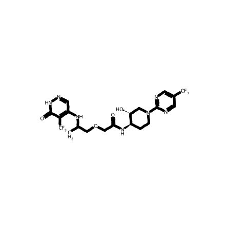 CC(COCC(=O)N[C@@H]1CCN(c2ncc(C(F)(F)F)cn2)C[C@H]1O)Nc1cn[nH]c(=O)c1C(F)(F)F